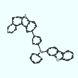 c1ccc(N(c2ccc(-c3ccc4sc5ccc6cnccc6c5c4c3)cc2)c2ccc3c(c2)oc2ccccc23)cc1